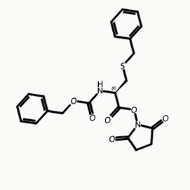 O=C(N[C@@H](CSCc1ccccc1)C(=O)ON1C(=O)CCC1=O)OCc1ccccc1